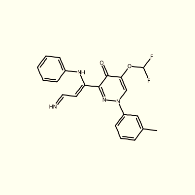 Cc1cccc(-n2cc(OC(F)F)c(=O)c(/C(=C/C=N)Nc3ccccc3)n2)c1